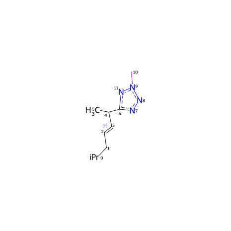 CC(C)C/C=C/C(C)c1nnn(I)n1